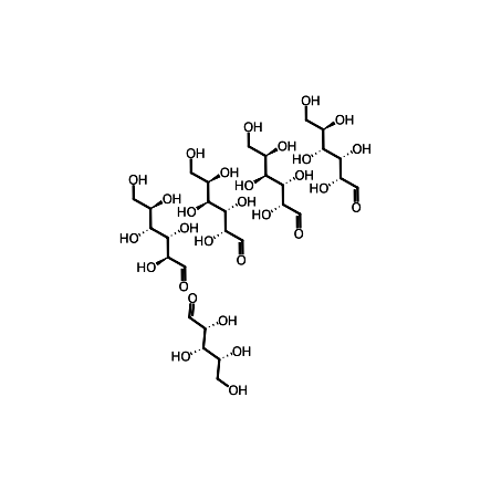 O=C[C@@H](O)[C@@H](O)[C@H](O)[C@H](O)CO.O=C[C@H](O)[C@@H](O)[C@@H](O)[C@H](O)CO.O=C[C@H](O)[C@@H](O)[C@@H](O)[C@H](O)CO.O=C[C@H](O)[C@@H](O)[C@H](O)CO.O=C[C@H](O)[C@@H](O)[C@H](O)[C@H](O)CO